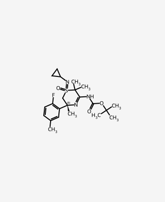 Cc1ccc(F)c([C@]2(C)CS(=O)(=NC3CC3)C(C)(C)C(NC(=O)OC(C)(C)C)=N2)c1